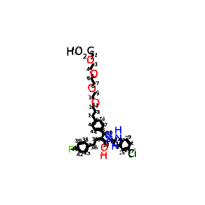 O=C(O)COCCOCCOCCOCCCc1ccc(-c2nn(-c3nc4cc(Cl)ccc4[nH]3)c(O)c2CCc2ccc(F)cc2)cc1